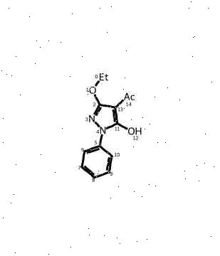 CCOc1nn(-c2ccccc2)c(O)c1C(C)=O